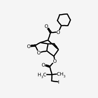 CC(C)(CI)C(=O)OC1C2CC3C1OC(=O)C3C2C(=O)OC1CCCCC1